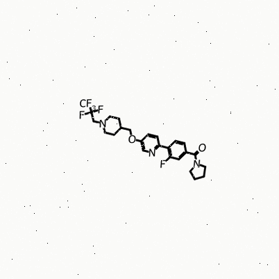 O=C(c1ccc(-c2ccc(OCC3CCN(CC(F)(F)C(F)(F)F)CC3)cn2)c(F)c1)N1CCCC1